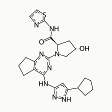 O=C(Nc1nccs1)[C@H]1C[C@H](O)CN1c1nc2c(c(Nc3cc(C4CCCC4)[nH]n3)n1)CCC2